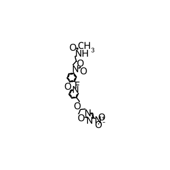 CC(=O)NCC1CN(c2ccc(Oc3ccc(COC4COc5nc([N+](=O)[O-])cn5C4)cn3)c(F)c2)C(=O)O1